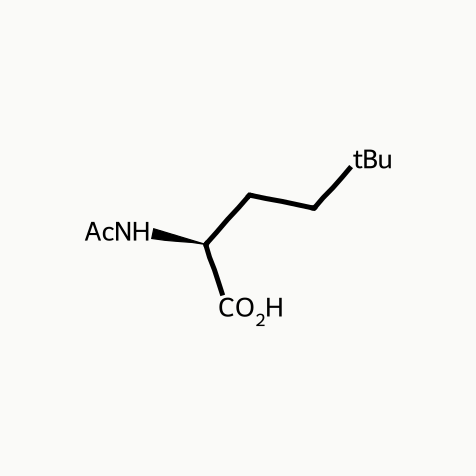 CC(=O)N[C@@H](CCC(C)(C)C)C(=O)O